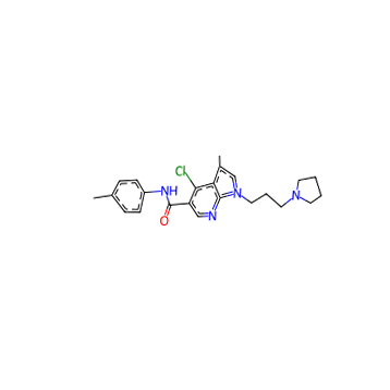 Cc1ccc(NC(=O)c2cnc3c(c(C)cn3CCCN3CCCC3)c2Cl)cc1